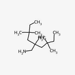 CCC(C)(C)CC(N)(CN)CC(C)(C)CC